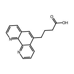 O=C(O)CCCc1cc2cccnc2c2ncccc12